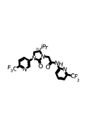 CC(C)[C@H]1CN(c2ccc(C(F)(F)F)nc2)C(=O)N1CC(=O)Nc1cccc(C(F)(F)F)n1